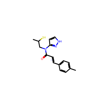 Cc1ccc(/C=C/C(=O)N(CC(C)S)c2cc[nH]n2)cc1